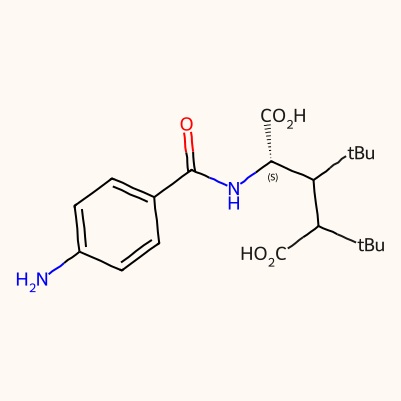 CC(C)(C)C(C(=O)O)C([C@H](NC(=O)c1ccc(N)cc1)C(=O)O)C(C)(C)C